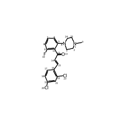 CN1CCN(c2cccc(F)c2C(=O)C=Cc2ccc(Cl)cc2Cl)CC1